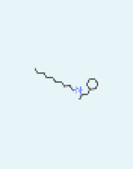 CCCCCCCCCC[N]C(C)CC1CCCCC1